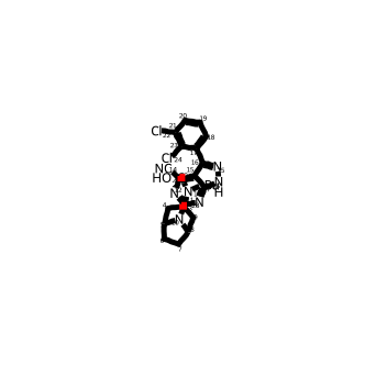 CC(C)(C)N(C(=O)O)C1CC2CCC(C1)N2c1nc(C#N)c2c(-c3cccc(Cl)c3Cl)n[nH]c2n1